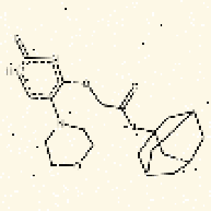 O=C(COc1nc(=O)[nH]cc1N1CCOCC1)NC12CC3CC(CC(C3)C1)C2